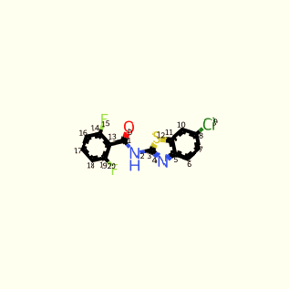 O=C(Nc1nc2ccc(Cl)cc2s1)c1c(F)cccc1F